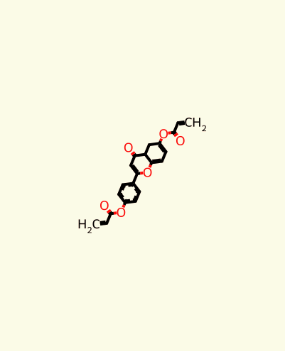 C=CC(=O)OC1=CC=C2OC(c3ccc(OC(=O)C=C)cc3)=CC(=O)C2C1